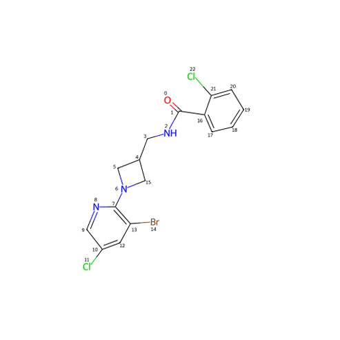 O=C(NCC1CN(c2ncc(Cl)cc2Br)C1)c1ccccc1Cl